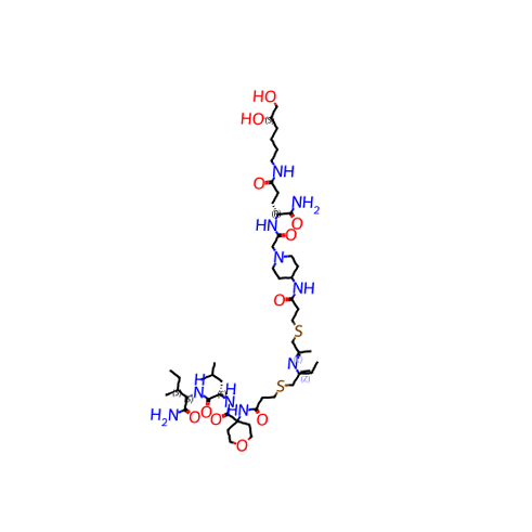 C/C=C(CSCCC(=O)NC1(C(=O)N[C@@H](CC(C)C)C(=O)N[C@H](C(N)=O)[C@@H](C)CC)CCOCC1)\N=C(/C)CSCCC(=O)NC1CCN(CC(=O)N[C@H](CCC(=O)NCCCC[C@H](O)CO)C(N)=O)CC1